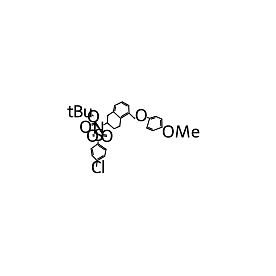 COc1ccc(OCc2cccc3c2CCC(N(C(=O)OC(C)(C)C)S(=O)(=O)c2ccc(Cl)cc2)C3)cc1